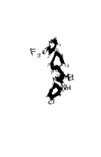 CC[C@@H](c1nc2ccc(Cl)cc2[nH]1)[C@H]1CC[C@@H](c2ccnc(C(F)(F)F)c2)CC1